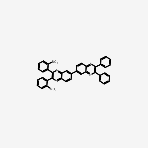 O=[N+]([O-])c1ccccc1-c1nc2ccc(-c3ccc4nc(-c5ccccc5)c(-c5ccccc5)nc4c3)cc2nc1-c1ccccc1[N+](=O)[O-]